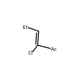 CCC=C(Cl)C(C)=O